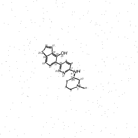 CN1CCC[C@@H](Nc2ccc(-c3ccc4sccc4c3O)nn2)C1